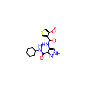 COc1cscc1C(=O)Nc1c[nH]nc1C(=O)NC1CCCCC1